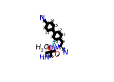 COC1(C(=O)N[C@H](C#N)Cc2ccc(-c3ccc(C#N)cc3)cc2F)CNC1